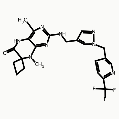 Cc1nc(NCc2cnn(Cc3ccc(C(F)(F)F)nc3)c2)nc2c1NC(=O)C1(CCC1)N2C